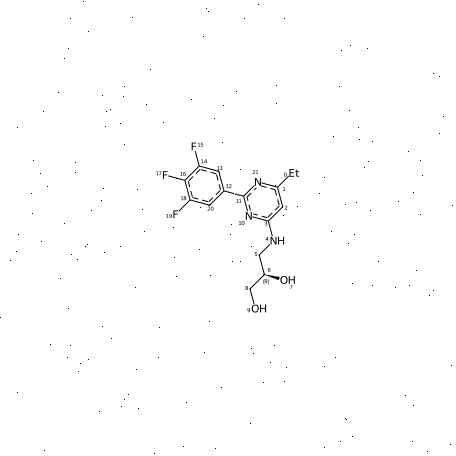 CCc1cc(NC[C@@H](O)CO)nc(-c2cc(F)c(F)c(F)c2)n1